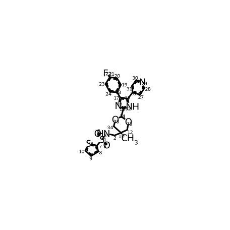 CC1(CNS(=O)(=O)c2cccs2)COC(c2nc(-c3ccc(F)cc3)c(-c3ccncc3)[nH]2)OC1